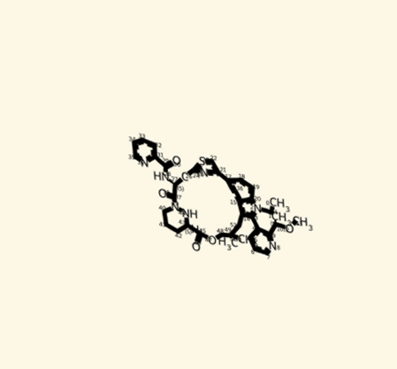 CCn1c(-c2cccnc2[C@H](C)OC)c2c3cc(ccc31)-c1csc(n1)C[C@H](NC(=O)c1ccccn1)C(=O)N1CCC[C@H](N1)C(=O)OCC(C)(C)C2